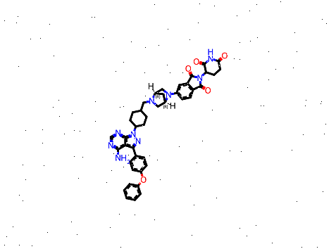 Nc1ncnc2c1c(-c1ccc(Oc3ccccc3)cc1)nn2C1CCC(CN2C[C@H]3C[C@@H]2CN3c2ccc3c(c2)C(=O)N(C2CCC(=O)NC2=O)C3=O)CC1